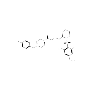 COc1cc(C)c(S(=O)(=O)N2CCCCC2COCC(=O)N2CCN(Cc3ccc(Cl)cc3)CC2)c(C)c1